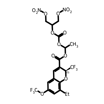 CCc1cc(OC(F)(F)F)cc2c1O[C@H](C(F)(F)F)C(C(=O)OC(C)OC(=O)OC(CO[N+](=O)[O-])CO[N+](=O)[O-])=C2